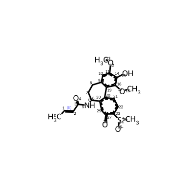 C/C=C/C(=O)N[C@H]1CCc2cc(OC)c(O)c(OC)c2-c2ccc([S+](C)[O-])c(=O)cc21